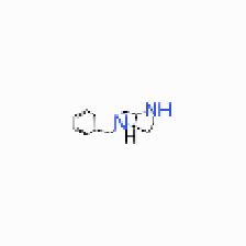 c1ccc(CN2CC3NCC[C@H]32)cc1